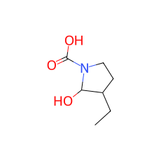 CCC1CCN(C(=O)O)C1O